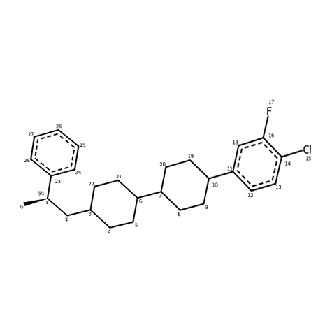 C[C@H](CC1CCC(C2CCC(c3ccc(Cl)c(F)c3)CC2)CC1)c1ccccc1